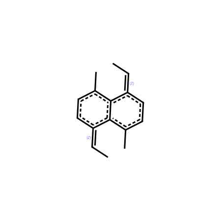 C/C=c1/ccc(C)c2/c(=C\C)ccc(C)c12